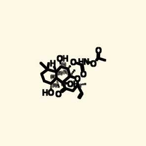 C=C[C@@]1(C)CC(=O)[C@]2(O)[C@@]3(C)[C@H](O)CCC(C)(C)[C@@H]3[C@H](O)[C@H](OC(=O)NOC(C)=O)[C@@]2(C)O1